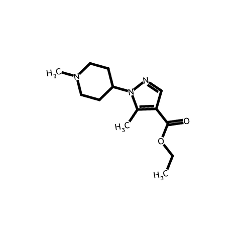 CCOC(=O)c1cnn(C2CCN(C)CC2)c1C